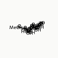 COC(=O)CCSCCC(=O)OCC1OC(Oc2cc3c(OC4C(O)COC(Oc5cc6ccc(=O)oc6cc5O)C4O)cc(=O)oc3cc2O)C(O)C(O)C1O